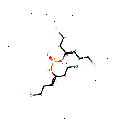 O=[PH](O/C(=C\CCCl)CCCl)O/C(=C\CCCl)CCCl